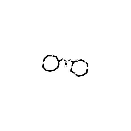 O=[N+](OC1CCCCCCCCCCC1)OC1CCCCCCCCCCC1